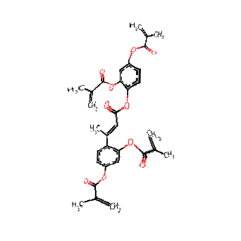 C=C(C)C(=O)Oc1ccc(OC(=O)/C=C(\C)c2ccc(OC(=O)C(=C)C)cc2OC(=O)C(=C)C)c(OC(=O)C(=C)C)c1